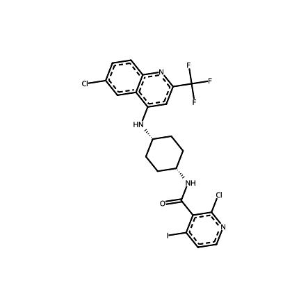 O=C(N[C@H]1CC[C@@H](Nc2cc(C(F)(F)F)nc3ccc(Cl)cc23)CC1)c1c(I)ccnc1Cl